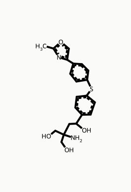 Cc1nc(-c2ccc(Sc3ccc(C(O)CC(N)(CO)CO)cc3)cc2)co1